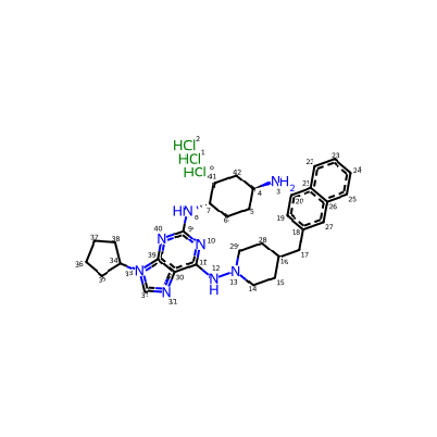 Cl.Cl.Cl.N[C@H]1CC[C@H](Nc2nc(NN3CCC(Cc4ccc5ccccc5c4)CC3)c3ncn(C4CCCC4)c3n2)CC1